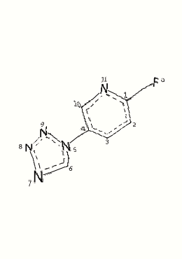 Fc1ccc(-n2cnnn2)cn1